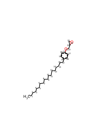 CCCCCCCCCCCCCCCCCCc1ccc(OCC2CO2)cc1